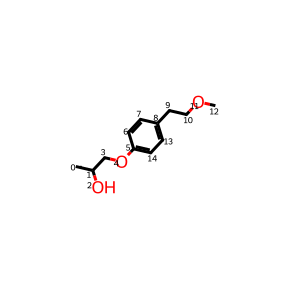 [CH2]C(O)COc1ccc(CCOC)cc1